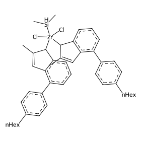 CCCCCCc1ccc(-c2cccc3c2C=C(C)[CH]3[Zr]([Cl])([Cl])([CH]2C(C)=Cc3c(-c4ccc(CCCCCC)cc4)cccc32)[SiH](C)C)cc1